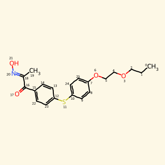 CCCOCCOc1ccc(Sc2ccc(C(=O)/C(C)=N/O)cc2)cc1